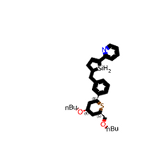 CCCCOC[C@@H]1C[C@H](OCCCC)C[C@H](c2cccc(CC3CC=C(c4ccccn4)[SiH2]3)c2)S1